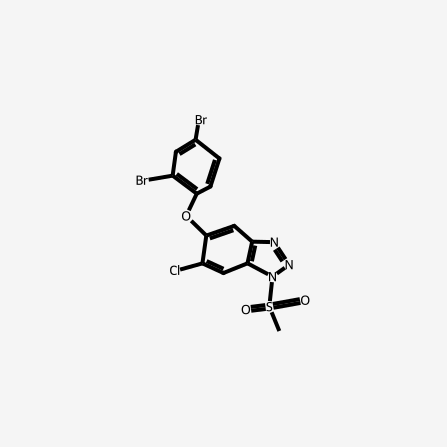 CS(=O)(=O)n1nnc2cc(Oc3ccc(Br)cc3Br)c(Cl)cc21